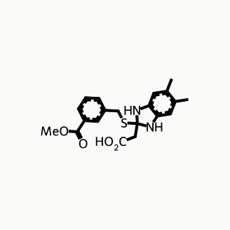 COC(=O)c1cccc(CSC2(CC(=O)O)Nc3cc(C)c(C)cc3N2)c1